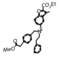 CCOC(=O)c1oc2ccc(SN(CCc3ccccc3)Cc3ccc(CC(=O)OC)cc3)cc2c1C